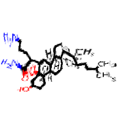 CC(C)CCC[C@@H](C)[C@H]1CC[C@H]2[C@@H]3CC(C(CCCN)C(N)=O)C4(O)CC(O)CC[C@]4(C)[C@H]3CC[C@]12C